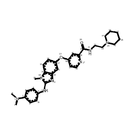 CN(C)c1ccc(Nc2nc3cc(Oc4ccnc(C(=O)NCCN5CCCCC5)c4)ccc3n2C)cc1